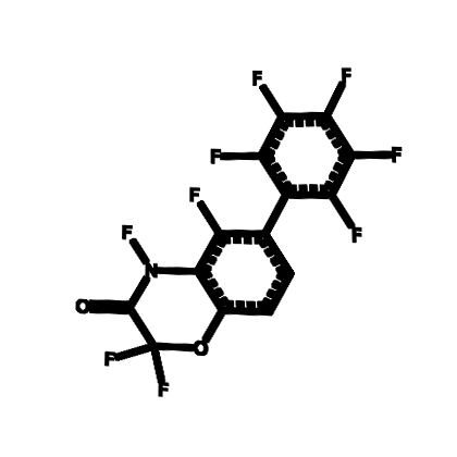 O=C1N(F)c2c(ccc(-c3c(F)c(F)c(F)c(F)c3F)c2F)OC1(F)F